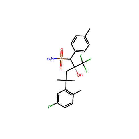 Cc1ccc(C([C@](O)(CC(C)(C)c2cc(F)ccc2C)C(F)(F)F)S(N)(=O)=O)cc1